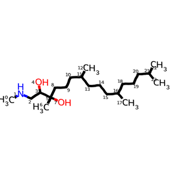 CNCC(O)C(C)(O)CCCC(C)CCCC(C)CCCC(C)C